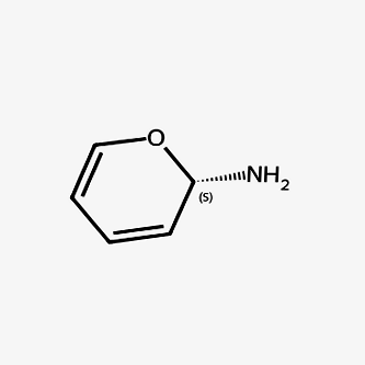 N[C@@H]1C=CC=CO1